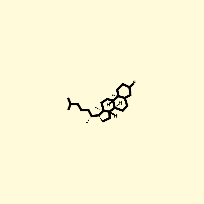 CC(C)CCC[C@@H](C)[C@H]1CC[C@H]2[C@@H]3CCC4CC(F)CC[C@]4(C)[C@H]3CC[C@]12C